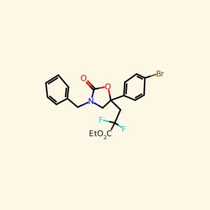 CCOC(=O)C(F)(F)CC1(c2ccc(Br)cc2)CN(Cc2ccccc2)C(=O)O1